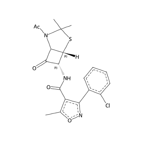 CC(=O)N1C2C(=O)[C@@H](NC(=O)c3c(-c4ccccc4Cl)noc3C)[C@H]2SC1(C)C